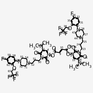 CN(C)c1cn(OC(=O)/C=C/C(=O)On2cc(N(C)C)c(=O)n(CCCN3CCN(c4ccc(F)cc4OCC(F)(F)F)CC3)c2=O)c(=O)n(CCCN2CCN(c3ccc(F)cc3OCC(F)(F)F)CC2)c1=O